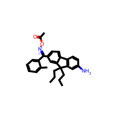 CCCC1(CCC)c2cc(N)ccc2-c2ccc(/C(=N\OC(C)=O)c3ccccc3C)cc21